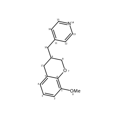 COc1cccc2c1OCC(Cc1ccncc1)C2